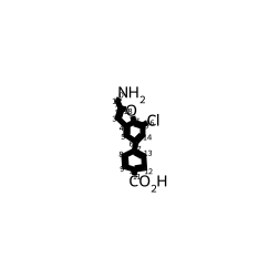 NCc1cc2cc(-c3ccc(C(=O)O)cc3)cc(Cl)c2o1